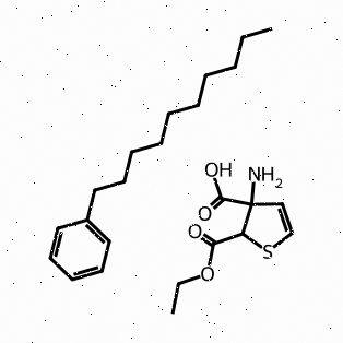 CCCCCCCCCCc1ccccc1.CCOC(=O)C1SC=CC1(N)C(=O)O